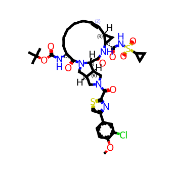 COc1ccc(-c2csc(C(=O)N3C[C@H]4CN5C(=O)[C@@H](NC(=O)OC(C)(C)C)CCCCC/C=C\[C@H]6C[C@@]6(C(=O)NS(=O)(=O)C6CC6)NC(=O)[C@@H]5[C@H]4C3)n2)cc1Cl